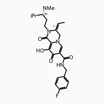 C/C=C1\Cn2cc(C(=O)NCc3ccc(F)cc3)c(=O)c(O)c2C(=O)N1CC[C@@H](NC)C(C)C